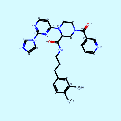 COc1ccc(CCCNC(=O)C2CN(C(=O)c3cccnc3)CCN2c2ccnc(-n3ccnc3)n2)cc1OC